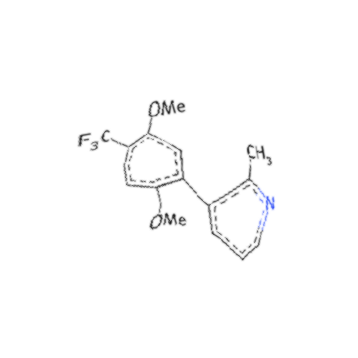 COc1cc(C(F)(F)F)c(OC)cc1-c1cccnc1C